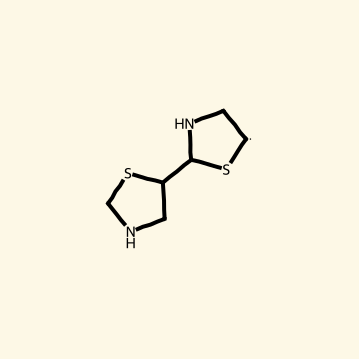 [CH]1CNC(C2CNCS2)S1